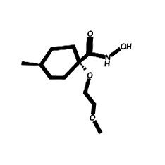 COCCO[C@]1(C(=O)NO)CC[C@@H](C)CC1